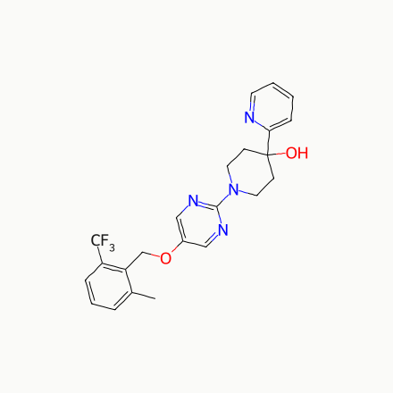 Cc1cccc(C(F)(F)F)c1COc1cnc(N2CCC(O)(c3ccccn3)CC2)nc1